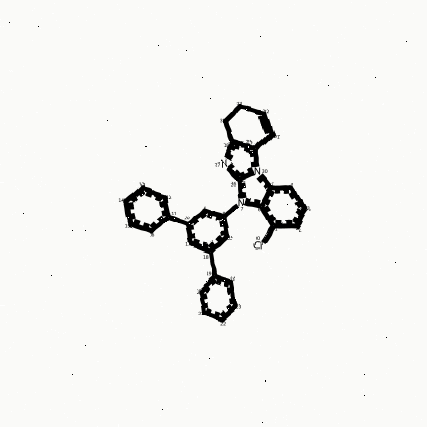 Clc1cccc2c1n(-c1cc(-c3ccccc3)cc(-c3ccccc3)c1)c1nc3c(n21)C=CCC3